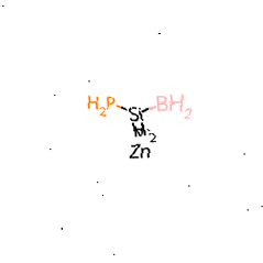 B[SiH2]P.[V].[Zn]